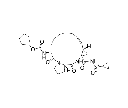 O=C(N[C@H]1CCCCC/C=C\[C@@H]2C[C@@]2(C(=O)N[S+]([O-])C2CC2)NC(=O)[C@@H]2CCCN2C1=O)OC1CCCC1